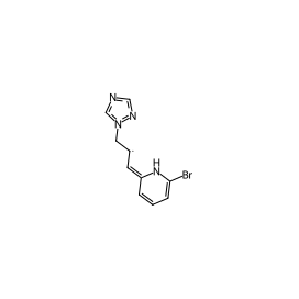 BrC1=CC=CC(=C[CH]Cn2cncn2)N1